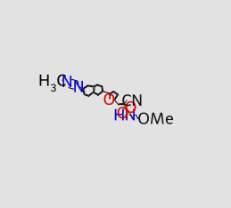 COCCNS(=O)(=O)/C(C#N)=C/c1ccc(-c2ccc3cc(N4CCN(C)CC4)ccc3c2)o1